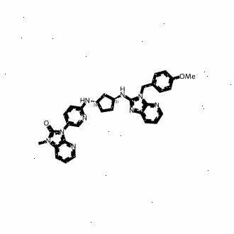 COc1ccc(Cn2c(N[C@H]3CC[C@H](Nc4ccc(-n5c(=O)n(C)c6cccnc65)cn4)C3)nc3cccnc32)cc1